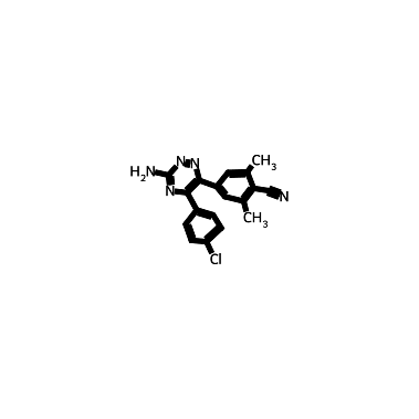 Cc1cc(-c2nnc(N)nc2-c2ccc(Cl)cc2)cc(C)c1C#N